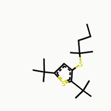 CCCC(C)(C)Sc1cc(C(C)(C)C)sc1C(C)(C)C